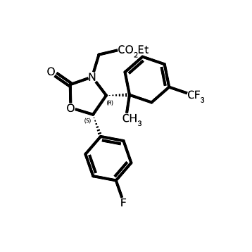 CCOC(=O)CN1C(=O)O[C@@H](c2ccc(F)cc2)[C@H]1C1(C)C=CC=C(C(F)(F)F)C1